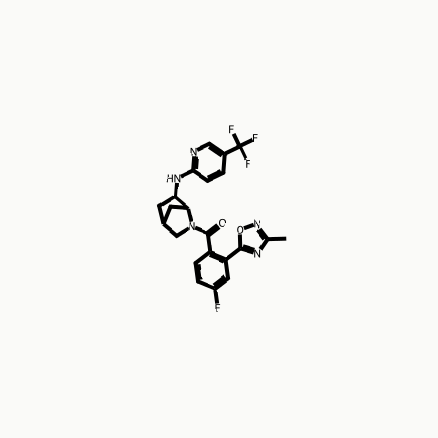 Cc1noc(-c2cc(F)ccc2C(=O)N2CC3CC(Nc4ccc(C(F)(F)F)cn4)C2C3)n1